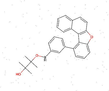 CC(C)(O)C(C)(C)OBc1cccc(-c2cccc3oc4ccc5ccccc5c4c23)c1